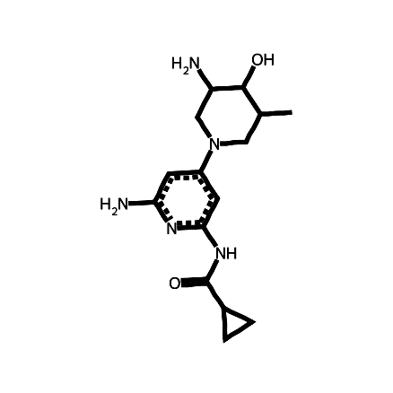 CC1CN(c2cc(N)nc(NC(=O)C3CC3)c2)CC(N)C1O